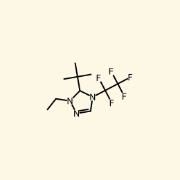 CCN1N=CN(C(F)(F)C(F)(F)F)C1C(C)(C)C